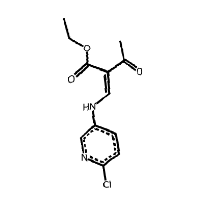 CCOC(=O)C(=CNc1ccc(Cl)nc1)C(C)=O